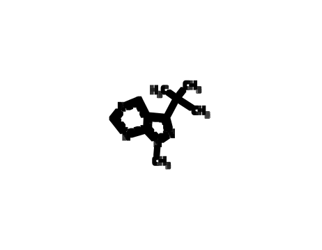 Cn1nc(C(C)(C)C)c2cncnc21